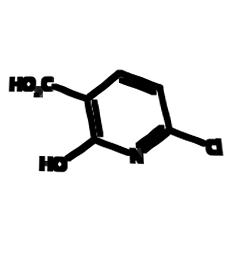 O=C(O)c1ccc(Cl)nc1O